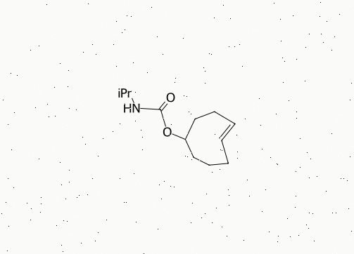 CC(C)NC(=O)OC1CC/C=C/CCC1